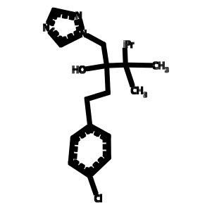 CC(C)C(C)(C)C(O)(CCc1ccc(Cl)cc1)Cn1cncn1